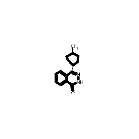 O=c1[nH]nc([C@H]2CC[C@H](C(F)(F)F)CC2)c2ccccc12